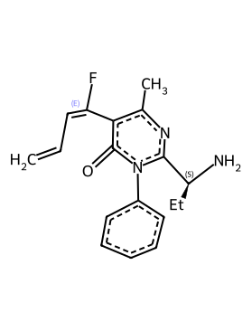 C=C/C=C(/F)c1c(C)nc([C@@H](N)CC)n(-c2ccccc2)c1=O